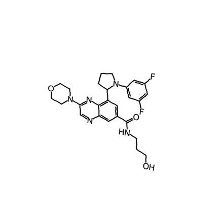 O=C(NCCCO)c1cc(C2CCCN2c2cc(F)cc(F)c2)c2nc(N3CCOCC3)cnc2c1